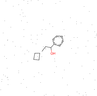 C1CCC1.CCC(O)c1ccccc1